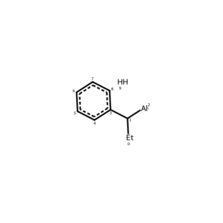 CC[CH]([Al])c1ccccc1.[HH]